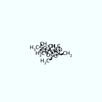 C=C[Si](C)(OC)O[Si](C)(C=C)O[Si](C)(C=C)O[Si](C)(C)C